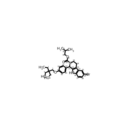 CCC(CO)(CO)COc1ccc(C2c3[nH]c4ccc(Br)cc4c3CCN2C(=O)OCC(C)C)cc1